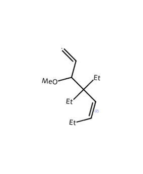 [CH]=CC(OC)C(/C=C\CC)(CC)CC